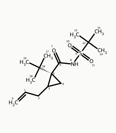 C=CCC1C[C@@]1(C(=O)NS(=O)(=O)C(C)(C)C)C(C)(C)C